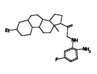 C=C(CNc1cc(F)ccc1N)C1CCC2C3CCC4CC(CC)CCC4C3CCC12C